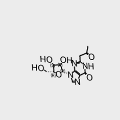 CC(=O)Cc1nc2c(ncn2[C@@H]2O[C@H](CO)[C@@H](O)[C@H]2O)c(=O)[nH]1